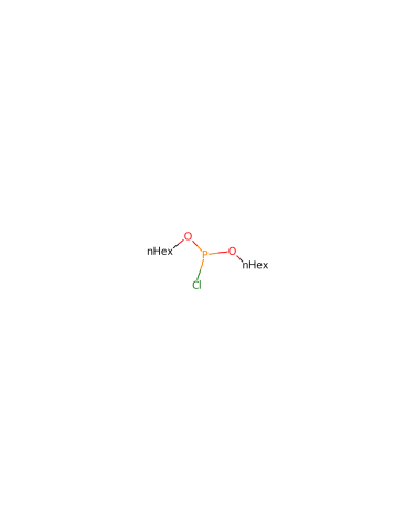 CCCCCCOP(Cl)OCCCCCC